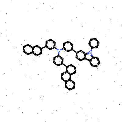 c1ccc(-n2c3ccccc3c3ccc(-c4cccc(N(c5cccc(-c6ccc7ccccc7c6)c5)c5cccc(-c6cccc7c6ccc6ccccc67)c5)c4)cc32)cc1